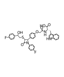 O=C(COc1ccc(C2C(SCC(O)c3ccc(F)cc3)C(=O)N2c2ccc(F)cc2)cc1)N[C@@H](Cc1c[nH]c2ccccc12)C(=O)O